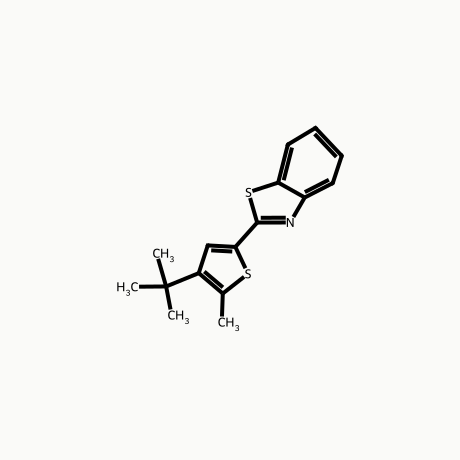 Cc1sc(-c2nc3ccccc3s2)cc1C(C)(C)C